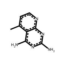 Cc1[c]cnc2nc(N)nc(N)c12